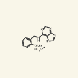 COc1ccccc1CNc1ncnc2nc[nH]c12.CS(=O)(=O)O